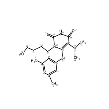 Cc1cc(C)cc([Se]c2c(C(C)C)c(=O)[nH]c(=S)n2CCCCO)c1